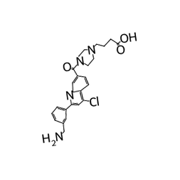 NCc1cccc(-c2cc(Cl)c3ccc(C(=O)N4CCN(CCCC(=O)O)CC4)cc3n2)c1